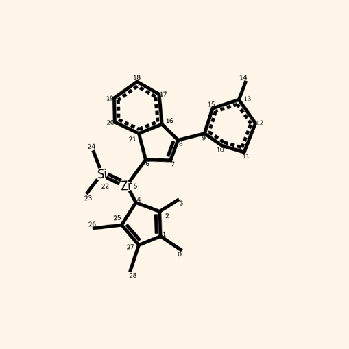 CC1=C(C)[CH]([Zr]([CH]2C=C(c3cccc(C)c3)c3ccccc32)=[Si](C)C)C(C)=C1C